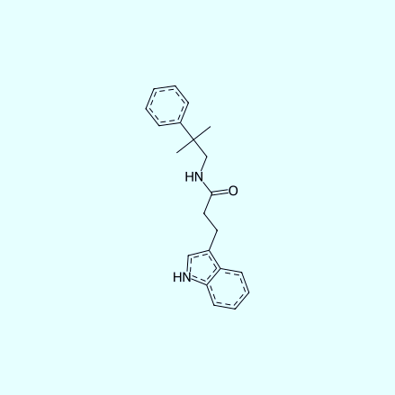 CC(C)(CNC(=O)CCc1c[nH]c2ccccc12)c1ccccc1